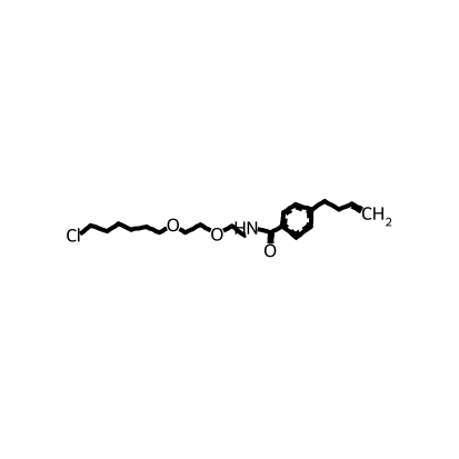 C=CCCc1ccc(C(=O)NCCOCCOCCCCCCCl)cc1